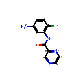 Nc1ccc(Cl)c(NC(=O)c2cnccn2)c1